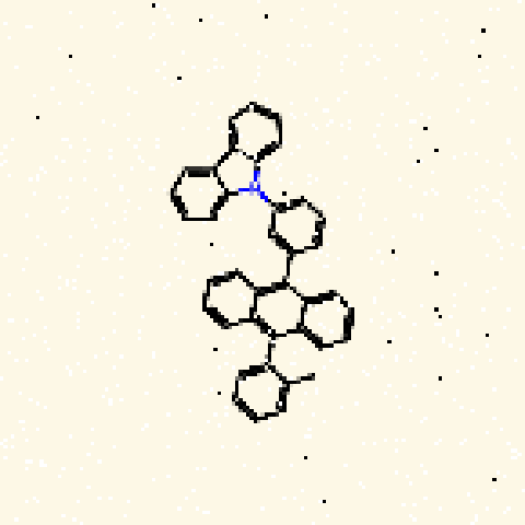 Cc1ccccc1-c1c2ccccc2c(-c2cccc(-n3c4ccccc4c4ccccc43)c2)c2ccccc12